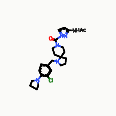 CC(=O)Nc1ccn(C(=O)N2CCC3(CCCN3Cc3ccc(N4CCCC4)c(Cl)c3)CC2)n1